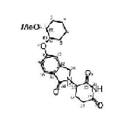 CO[C@@H]1CCCC[C@H]1Oc1ccc2c(c1)CN(C1CCC(=O)NC1=O)C2=O